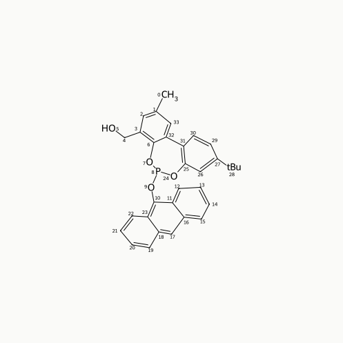 Cc1cc(CO)c2op(Oc3c4ccccc4cc4ccccc34)oc3cc(C(C)(C)C)ccc3c2c1